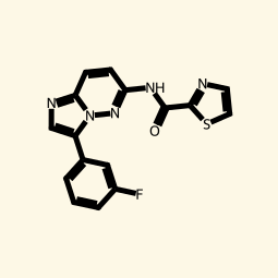 O=C(Nc1ccc2ncc(-c3cccc(F)c3)n2n1)c1nccs1